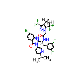 CC(C)c1ccc(-n2c([C@H](Cc3cc(F)cc(F)c3)NC(=O)Cn3nc(C(F)F)c4c3C(F)(F)[C@@H]3C[C@H]43)nc3cc(Br)ccc3c2=O)cn1